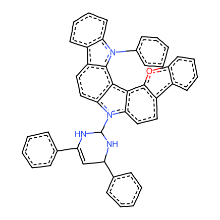 C1=C(c2ccccc2)NC(n2c3ccc4c5ccccc5oc4c3c3c4c(ccc32)c2ccccc2n4-c2ccccc2)NC1c1ccccc1